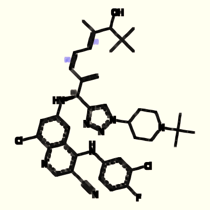 C=C(/C=C\C=C(/C)C(O)C(C)(C)C)[C@H](Nc1cc(Cl)c2ncc(C#N)c(Nc3ccc(F)c(Cl)c3)c2c1)c1cn(C2CCN(C(C)(C)C)CC2)nn1